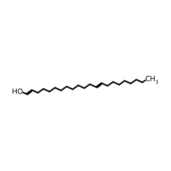 CCCCCCCCC=CCCCCCCCCCCC=CO